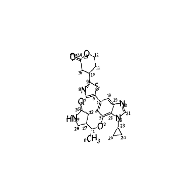 C[C@@H](Oc1cc(-c2cnc([C@@H]3CCOC(=O)C3)s2)cc2ncn(C3CC3)c12)C1CNC(=O)C1